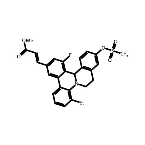 CCc1cccc2c1N1CCc3cc(OS(=O)(=O)C(F)(F)F)ccc3C1c1c(F)cc(/C=C/C(=O)OC)cc1-2